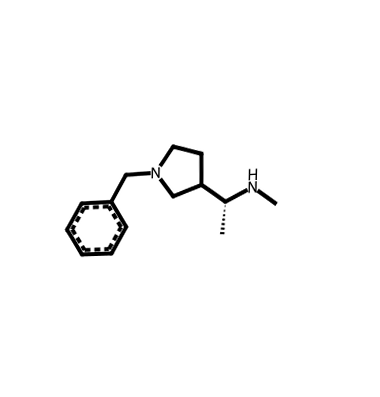 CN[C@H](C)C1CCN(Cc2ccccc2)C1